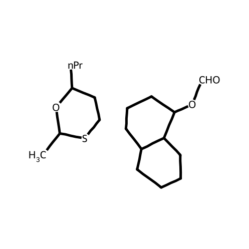 CCCC1CCSC(C)O1.O=COC1CCCC2CCCCC21